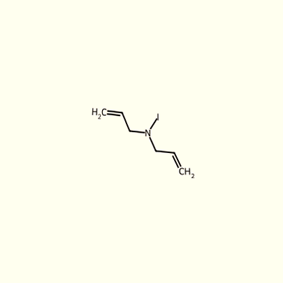 C=CCN(I)CC=C